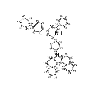 C1=C(C2=NC(c3ccc(-n4c5ccc6ccccc6c5c5c6ccccc6ccc54)cc3)NC(c3ccccc3)=N2)CCC(c2ccccc2)=C1